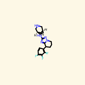 Fc1ccc(C2CCCn3nc(N[C@@H]4[C@@H]5CC[C@H]4CNC5)nc32)c(F)c1F